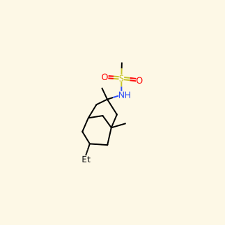 CCC1CC2CC(C)(C1)CC(C)(NS(C)(=O)=O)C2